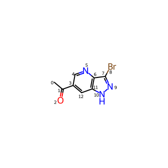 CC(=O)c1cnc2c(Br)n[nH]c2c1